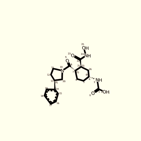 O=C(O)N[C@@H]1CC[C@H](C(=O)N2CC[C@H](c3ccccc3)C2)[C@@H](C(=O)NO)C1